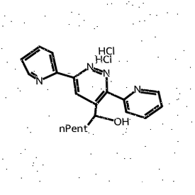 CCCCCC(O)c1cc(-c2ccccn2)nnc1-c1ccccn1.Cl.Cl